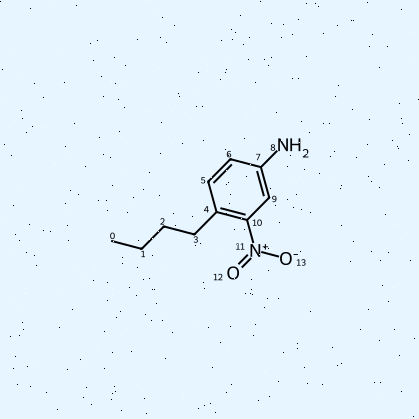 CCCCc1ccc(N)cc1[N+](=O)[O-]